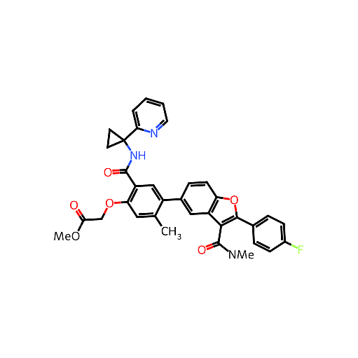 CNC(=O)c1c(-c2ccc(F)cc2)oc2ccc(-c3cc(C(=O)NC4(c5ccccn5)CC4)c(OCC(=O)OC)cc3C)cc12